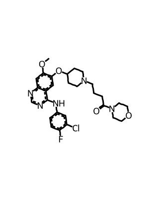 COc1cc2ncnc(Nc3ccc(F)c(Cl)c3)c2cc1OC1CCN(CCCC(=O)N2CCOCC2)CC1